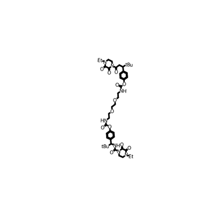 CCN1CCN(C(=O)CC(c2ccc(OC(=O)NCCOCCOCCNC(=O)Oc3ccc(C(NC(=O)N4CCN(CC)C(=O)C4=O)C(C)(C)C)cc3)cc2)C(C)(C)C)C(=O)C1=O